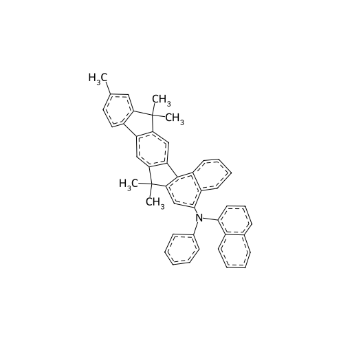 Cc1ccc2c(c1)C(C)(C)c1cc3c(cc1-2)C(C)(C)c1cc(N(c2ccccc2)c2cccc4ccccc24)c2ccccc2c1-3